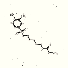 C=CC(=O)OCCCCCCS(=O)(=O)c1ccc(O)c(C)c1